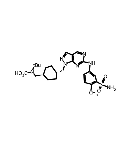 Cc1ccc(Nc2ncc3cnn(C[C@H]4CC[C@H](CN(C(=O)O)C(C)(C)C)CC4)c3n2)cc1S(N)(=O)=O